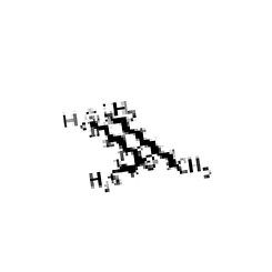 CC=CC(=CC=CCCCC)OC(C=CC)=CC=CCCCC